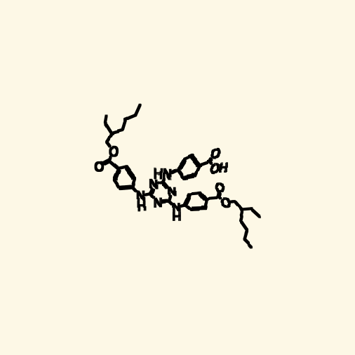 CCCCC(CC)COC(=O)c1ccc(Nc2nc(Nc3ccc(C(=O)O)cc3)nc(Nc3ccc(C(=O)OCC(CC)CCCC)cc3)n2)cc1